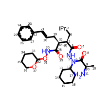 CC(C)C[C@@H](C(=O)NN(C(=O)[C@@H](C)N)C1CCCCC1)[C@H](CC=Cc1ccccc1)C(=O)NOC1CCCCO1